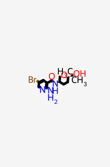 CC(C)(O)[C@@H]1CC[C@@H](NC(=O)c2cc(Br)cnc2N)CO1